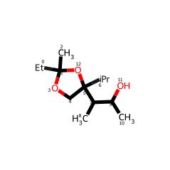 CCC1(C)OCC(C(C)C)(C(C)C(C)O)O1